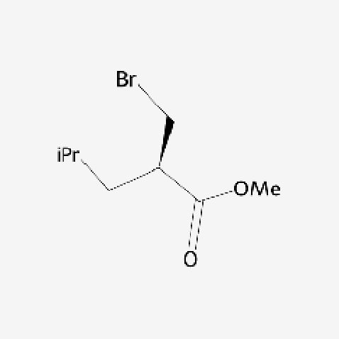 COC(=O)[C@H](CBr)CC(C)C